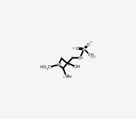 CC(C)(C)C1N(C(=O)O)CC1(O)COS(C)(=O)=O